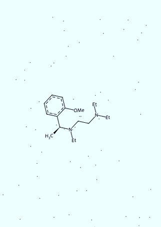 CCN(CC)CCN(CC)[C@@H](C)c1ccccc1OC